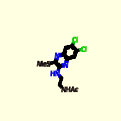 CSc1nc2cc(Cl)c(Cl)cc2nc1NCCNC(C)=O